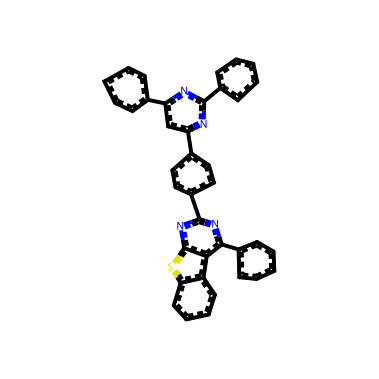 c1ccc(-c2cc(-c3ccc(-c4nc(-c5ccccc5)c5c(n4)sc4ccccc45)cc3)nc(-c3ccccc3)n2)cc1